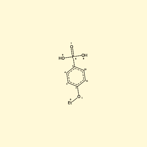 CCOc1ccc(P(=O)(O)O)cc1